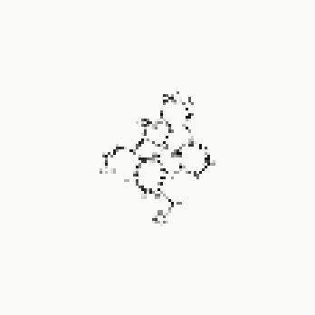 C/C=C\C=C(/C)S(C(/C=C\C)=C/C)(c1ccccc1)c1cccc(CC)c1